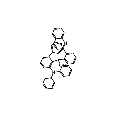 OC1(c2ccccc2-c2ccc3ccccc3n2)c2ccccc2-c2cccc(N(c3ccccc3)c3ccccc3)c21